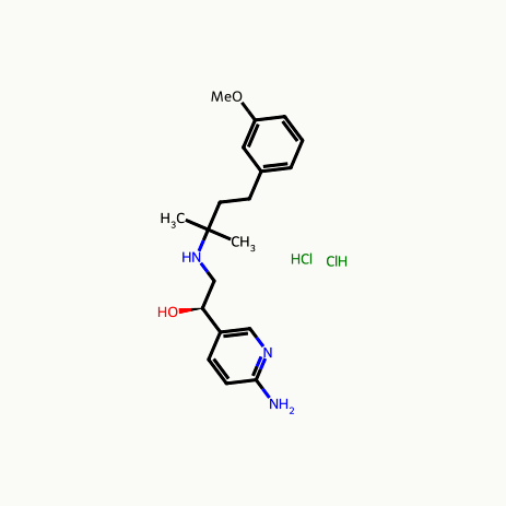 COc1cccc(CCC(C)(C)NC[C@H](O)c2ccc(N)nc2)c1.Cl.Cl